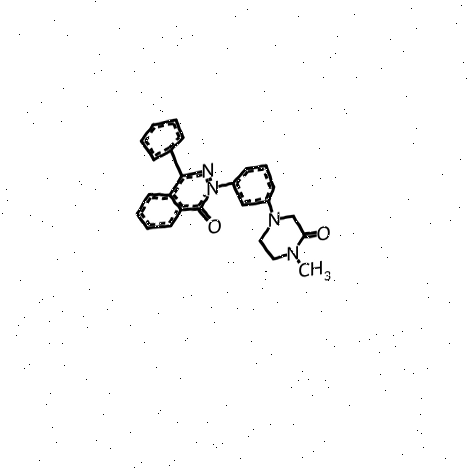 CN1CCN(c2cccc(-n3nc(-c4ccccc4)c4ccccc4c3=O)c2)CC1=O